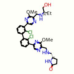 CC[C@H](CO)NCc1ncc(-c2cccc(-c3cccc(-c4cnc(CNC[C@@H]5CCC(=O)N5)c(OC)n4)c3Cl)c2Cl)nc1OC